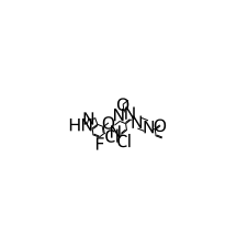 C=CC(=O)N1CCN(c2nc(OC)nc3c(Oc4c(Cl)c(F)cc5[nH]ncc45)nc(Cl)cc23)CC1